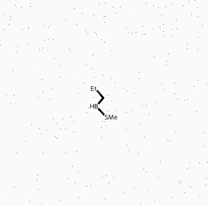 CCCBSC